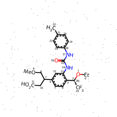 CCO[C@H](c1ccc(C(COC)CC(=O)O)cc1NC(=O)Nc1ccc(C)cc1)C(F)(F)F